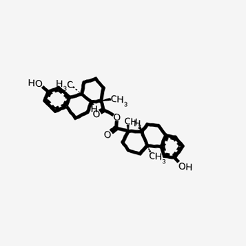 C[C@]1(C(=O)OC(=O)[C@@]2(C)CCC[C@]3(C)c4cc(O)ccc4CC[C@@H]23)CCC[C@]2(C)c3cc(O)ccc3CC[C@@H]12